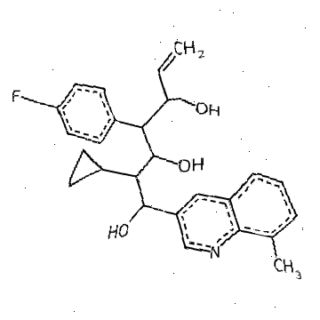 C=CC(O)C(c1ccc(F)cc1)C(O)C(C1CC1)C(O)c1cnc2c(C)cccc2c1